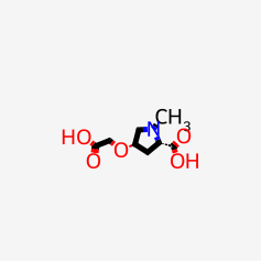 CN1C[C@@H](OCC(=O)O)C[C@H]1C(=O)O